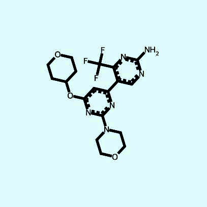 Nc1ncc(-c2cc(OC3CCOCC3)nc(N3CCOCC3)n2)c(C(F)(F)F)n1